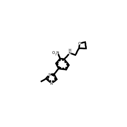 Cc1ncc(-c2ccc(NCC3CCO3)c([N+](=O)[O-])c2)s1